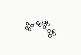 CC(CC(=O)OCCc1ccc2c(c1)-c1ccccc1C(=O)C2=O)CC(=O)OCCc1ccc2c(c1)-c1ccccc1C(=O)C2=O